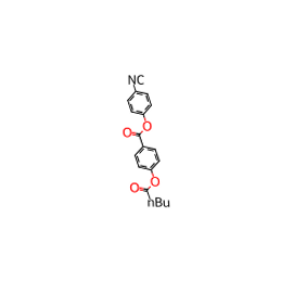 [C-]#[N+]c1ccc(OC(=O)c2ccc(OC(=O)CCCC)cc2)cc1